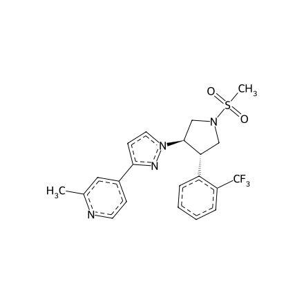 Cc1cc(-c2ccn([C@H]3CN(S(C)(=O)=O)C[C@@H]3c3ccccc3C(F)(F)F)n2)ccn1